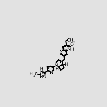 CCc1cc2ncc(CN3CCN(c4ccc(-c5nnc(C)[nH]5)nc4)[C@H]4CC[C@H]43)cc2[nH]c1=O